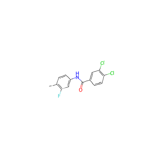 Cc1ccc(NC(=O)c2ccc(Cl)c(Cl)c2)cc1F